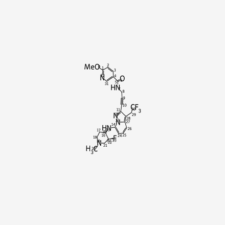 COc1ccc(C(=O)NCC#Cc2nn3c(N[C@@H]4CCN(C)C[C@@H]4F)cccc3c2CC(F)(F)F)cn1